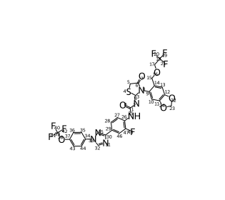 O=C(/N=C1\SCC(=O)N1c1cc2c(cc1COCC(F)(F)F)OCO2)Nc1ccc(-c2ncn(-c3ccc(OC(F)(F)F)cc3)n2)cc1F